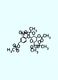 COC(=O)[C@H]1O[C@@H](Oc2ccc(COS(C)(=O)=O)cc2[N+](=O)[O-])[C@H](OC(C)=O)[C@@H](OC(C)=O)[C@@H]1OC(C)=O